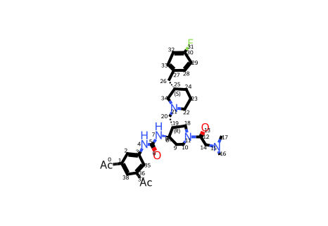 CC(=O)c1cc(NC(=O)N[C@@H]2CCN(C(=O)CN(C)C)C[C@H]2CN2CCC[C@@H](Cc3ccc(F)cc3)C2)cc(C(C)=O)c1